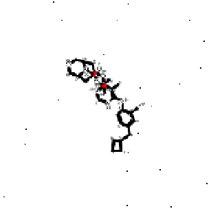 Cc1c(Nc2ccc(CC3CCC3)cc2F)ncnc1OC1CC2COCC(C1)N2C(=O)OC(C)C